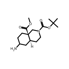 COC(=O)[C@]12CCC(N)C[C@@H]1CCN(C(=O)OC(C)(C)C)C2